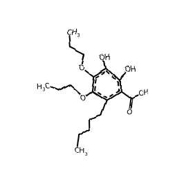 CCCCCc1c(OCCC)c(OCCC)c(O)c(O)c1C(=O)O